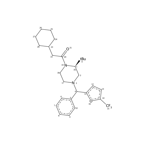 CC(C)(C)[C@H]1CN(C(c2ccccc2)c2ccc(C(F)(F)F)o2)CCN1C(=O)CC1CCCCC1